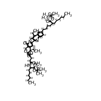 CCCCCCC(CCCCc1ccc2nc3c(c(CC)c2c1)Cn1c-3cc2c(c1=O)COC(=O)[C@@]2(CC)OC(=O)CCC(=O)NC(CCCCCC)C(=O)OC(C)(C)C)C(=O)OC(C)(C)C